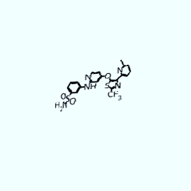 Cc1cccc(-c2nc(C(F)(F)F)sc2Oc2ccnc(Nc3cccc(S(N)(=O)=O)c3)c2)n1